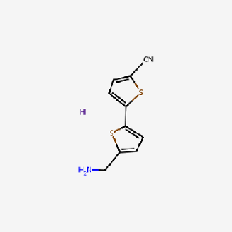 I.N#Cc1ccc(-c2ccc(CN)s2)s1